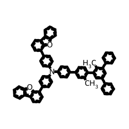 Cc1cc(-c2ccc(N(c3ccc(-c4cccc5c4oc4ccccc45)cc3)c3ccc(-c4cccc5c4oc4ccccc45)cc3)cc2)ccc1-c1cc(-c2ccccc2)cc(-c2ccccc2)c1C